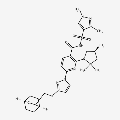 Cc1nn(C)cc1S(=O)(=O)NC(=O)c1ccc(-n2ccc(OCC3C[C@H]4CC[C@@H]3CC4)n2)nc1N1C[C@@H](C)CC1(C)C